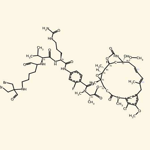 COc1cc2cc(c1Cl)N(C)C(=O)C[C@H](OC(=O)[C@H](C)N(C)C(=O)c1ccc(NC(=O)[C@H](CCCNC(N)=O)NC(=O)[C@@H](NC(C=O)CCCCNC(C=O)(CBr)CBr)C(C)C)cc1F)[C@]1(C)O[C@H]1[C@H](C)[C@@H]1C[C@@](O)(NC(=O)O1)[C@H](OC)/C=C/C=C(\C)C2